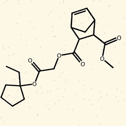 CCC1(OC(=O)COC(=O)C2C3C=CC(C3)C2C(=O)OC)CCCC1